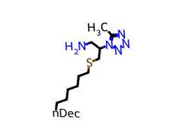 CCCCCCCCCCCCCCCCSCC(CN)n1nnnc1C